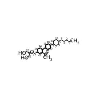 CCCCCC1CCC(c2ccc(-c3ccc(COC(CO)CO)cc3CC)c(F)c2)CC1